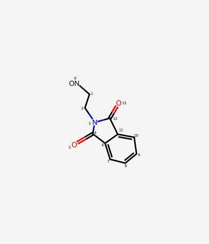 O=NCCN1C(=O)c2ccccc2C1=O